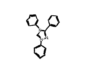 c1ccc(-c2n[n+](-c3ccccc3)cn2-c2ccccc2)cc1